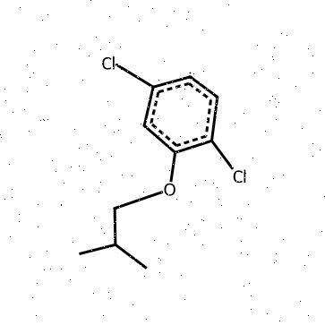 CC(C)COc1cc(Cl)[c]cc1Cl